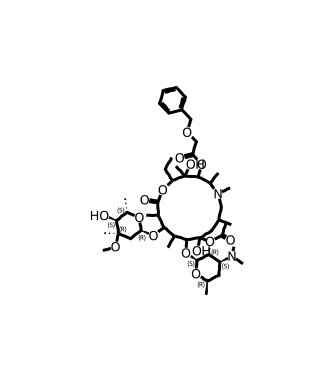 CCC1OC(=O)C(C)C(O[C@H]2C[C@@](C)(OC)[C@@H](O)[C@H](C)O2)C(C)C(O[C@@H]2O[C@H](C)C[C@H](N(C)C)[C@H]2OC(C)=O)C(C)(O)CC(C)CN(C)C(C)C(OC(=O)COCc2ccccc2)C1(C)O